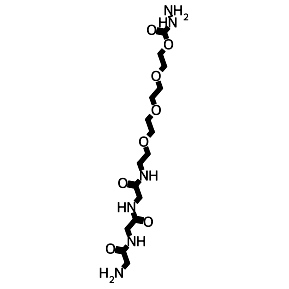 NCC(=O)NCC(=O)NCC(=O)NCCOCCOCCOCCOC(=O)NN